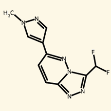 Cn1cc(-c2ccc3nnc(C(F)F)n3n2)cn1